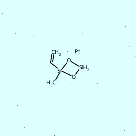 C=C[Si]1(C)O[SiH2]O1.[Pt]